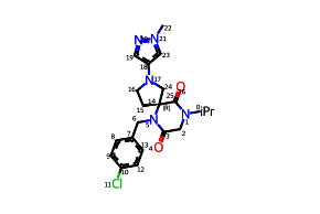 CC(C)N1CC(=O)N(Cc2ccc(Cl)cc2)[C@@]2(CCN(c3cnn(C)c3)C2)C1=O